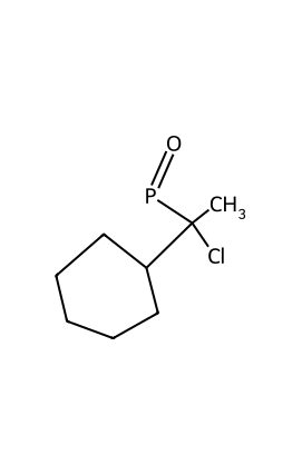 CC(Cl)(P=O)C1CCCCC1